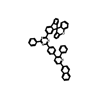 c1ccc(-c2nc(-c3ccc(-c4ccc(-c5ccc6ccccc6c5)nc4-c4ccccc4)cc3)nc(-c3ccc4c(c3)C3(c5ccccc5Oc5ccccc53)c3ccccc3-4)n2)cc1